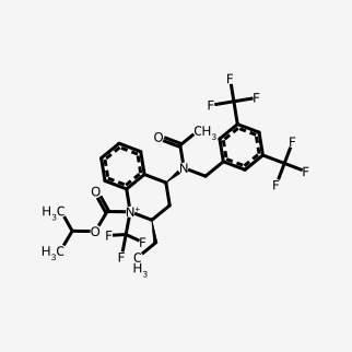 CC[C@@H]1C[C@H](N(Cc2cc(C(F)(F)F)cc(C(F)(F)F)c2)C(C)=O)c2ccccc2[N+]1(C(=O)OC(C)C)C(F)(F)F